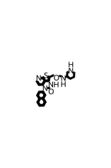 O=C1Nc2c(COCN[C@@H]3CCCNC3)sc3nccc(c23)N1c1ccc2ccccc2c1